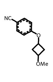 COC1CC(Oc2ccc(C#N)cc2)C1